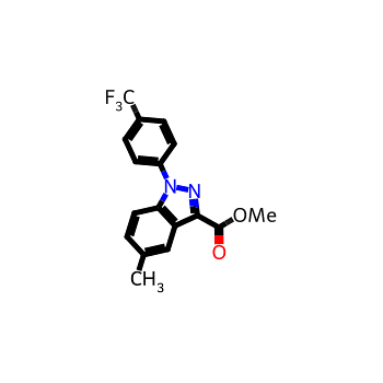 COC(=O)c1nn(-c2ccc(C(F)(F)F)cc2)c2ccc(C)cc12